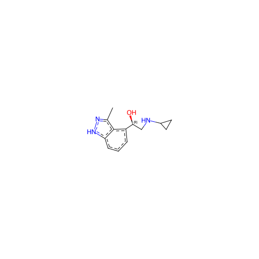 Cc1n[nH]c2cccc([C@@H](O)CNC3CC3)c12